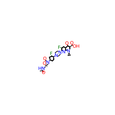 CC(=O)NC[C@H]1CN(c2ccc(N3CCN(c4nc5c(cc4F)c(=O)c(C(=O)O)cn5C4CC4)CC3)c(F)c2)C(=O)O1